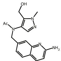 CC(=O)N(Cc1ccc2ccc(N)nc2c1)c1cnn(C)c1CO